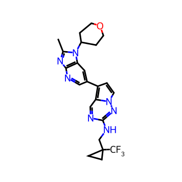 Cc1nc2ncc(-c3ccn4nc(NCC5(C(F)(F)F)CC5)ncc34)cc2n1C1CCOCC1